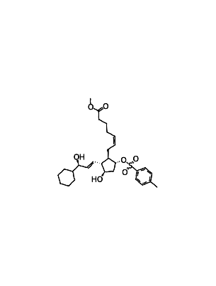 COC(=O)CCC/C=C\C[C@@H]1[C@@H](/C=C/[C@H](O)C2CCCCC2)[C@H](O)C[C@H]1OS(=O)(=O)c1ccc(C)cc1